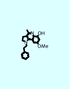 COc1cc(O)c2nc(C)c3c(c2c1)N(CCc1ccccc1)CC3